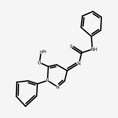 CCCOc1c/c(=N\C(=S)Nc2ccccc2)cnn1-c1ccccc1